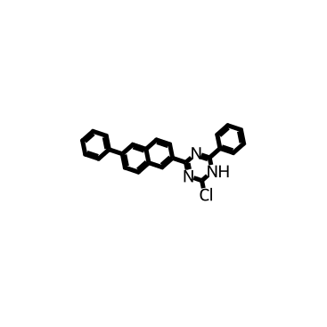 ClC1N=C(c2ccc3cc(-c4ccccc4)ccc3c2)N=C(c2ccccc2)N1